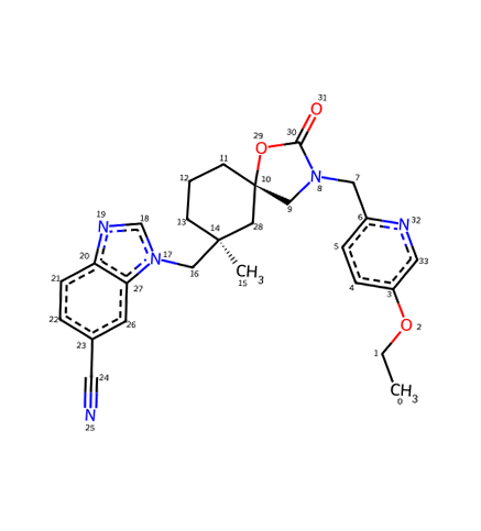 CCOc1ccc(CN2C[C@@]3(CCC[C@](C)(Cn4cnc5ccc(C#N)cc54)C3)OC2=O)nc1